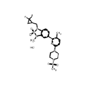 Cc1ccc(N2CCN(S(C)(=O)=O)CC2)nc1-c1ccc2c(c1)N(C)S(=O)(=O)N2CC1CC1(F)F.Cl